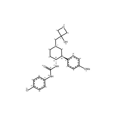 COc1ccc([C@@H]2CN(CC3(O)COC3)CC[C@H]2NC(=O)Nc2ccc(Cl)cc2)nc1